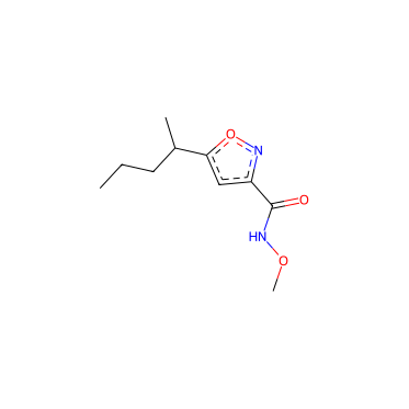 CCCC(C)c1cc(C(=O)NOC)no1